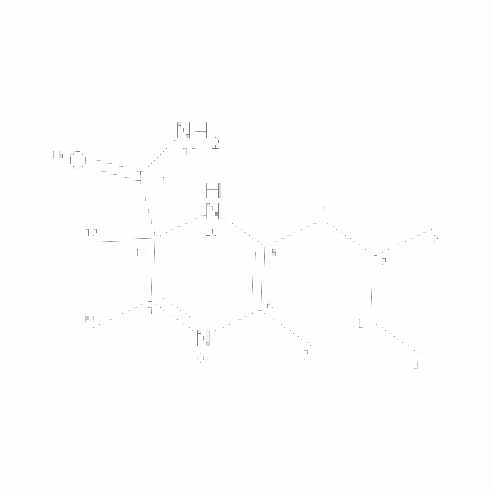 CCC(C)CC1=C(C)N=C(C)C(C)(C(N)=O)N1